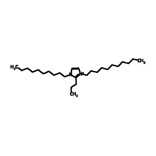 CCCCCCCCCCC[n+]1ccn(CCCCCCCCCC)c1CCC